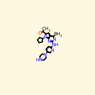 Bc1nc(Nc2ccc(N3CCNCC3)cn2)nc2c1cc(C(C)=O)n2C1CCCC1